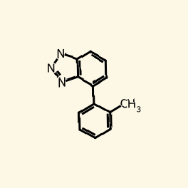 Cc1ccccc1-c1cccc2c1N=N[N]2